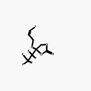 O=C1OCC(OC/C=C\F)(C(F)(F)C(F)(F)F)O1